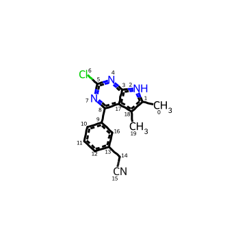 Cc1[nH]c2nc(Cl)nc(-c3cccc(CC#N)c3)c2c1C